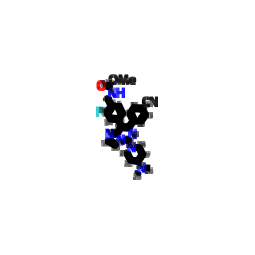 COC(=O)NCc1ccc(-c2c(-c3ccc(C#N)cc3)nc(N3CCC(N(C)C)CC3)n3ccnc23)cc1F